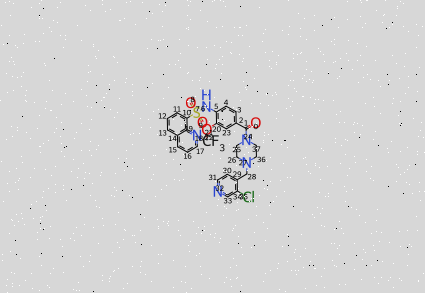 O=C(c1ccc(NS(=O)(=O)c2cccc3cccnc23)c(OC(F)(F)F)c1)N1CCN(Cc2ccncc2Cl)CC1